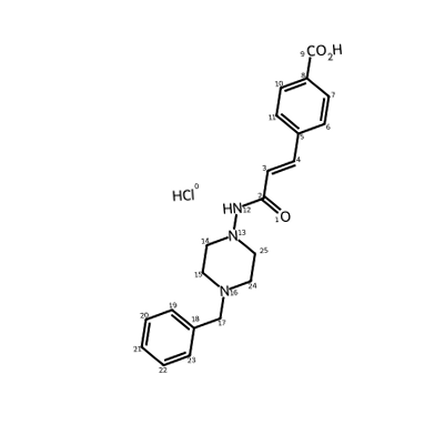 Cl.O=C(C=Cc1ccc(C(=O)O)cc1)NN1CCN(Cc2ccccc2)CC1